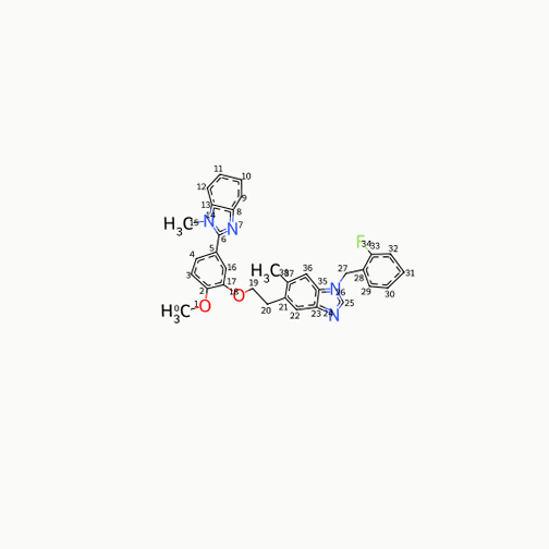 COc1ccc(-c2nc3ccccc3n2C)cc1OCCc1cc2ncn(Cc3ccccc3F)c2cc1C